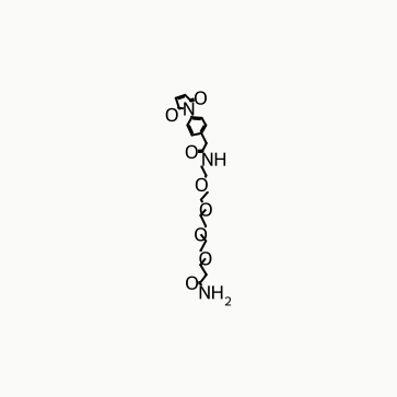 NC(=O)CCOCCOCCOCCOCCNC(=O)Cc1ccc(N2C(=O)C=CC2=O)cc1